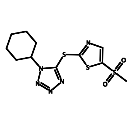 CS(=O)(=O)c1cnc(Sc2nnnn2C2CCCCC2)s1